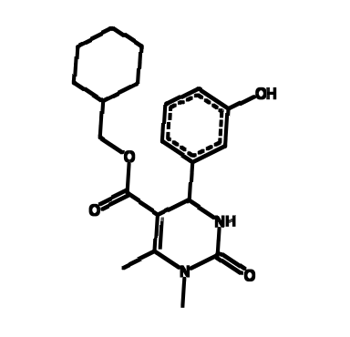 CC1=C(C(=O)OCC2CCCCC2)C(c2cccc(O)c2)NC(=O)N1C